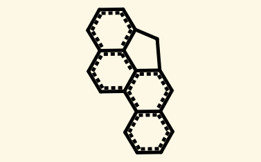 c1ccc2c(c1)cc1c3c2ccc2cccc(c23)C1